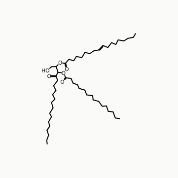 CCCCCCCCC=CCCCCCCCC(=O)OC(CO)C(OC(=O)CCCCCCCCCCCCCCC)C(=O)CCCCCCCCCCCCCCC